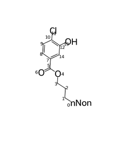 CCCCCCCCCCCCOC(=O)c1ccc(Cl)c(O)c1